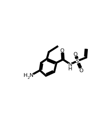 C=CS(=O)(=O)NC(=O)c1ccc(N)cc1CC